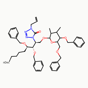 C=CCn1nnn([C@@H](COC2OC(COCc3ccccc3)C(OCc3ccccc3)C(C)C2C)[C@H](OCc2ccccc2)[C@@H](CCCCCCCCCCCCCC)OCc2ccccc2)c1=O